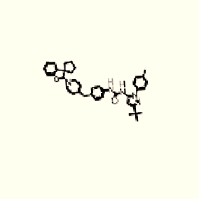 Cc1ccc(-n2nc(C(C)(C)C)cc2NC(=O)Nc2ccc(CC3CCN(C(=O)C4(c5ccccc5)CCCC4)CC3)cc2)cc1